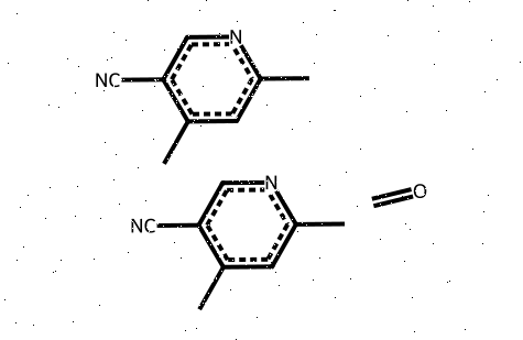 C=O.Cc1cc(C)c(C#N)cn1.Cc1cc(C)c(C#N)cn1